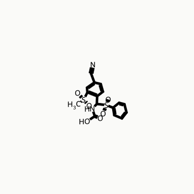 CS(=O)(=O)c1cc(C#N)ccc1C(NC(=O)O)S(=O)(=O)c1ccccc1